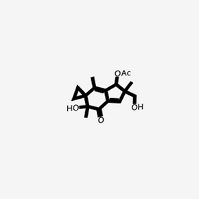 CC(=O)OC1C2=C(C)C3(CC3)C(C)(O)C(=O)C2=CC1(C)CO